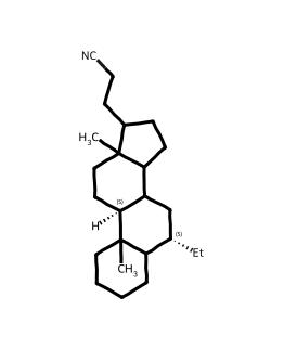 CC[C@H]1CC2C3CCC(CCC#N)C3(C)CC[C@@H]2C2(C)CCCCC12